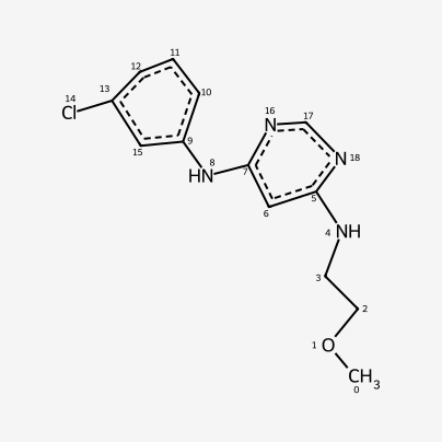 COCCNc1cc(Nc2cccc(Cl)c2)ncn1